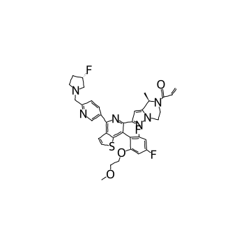 C=CC(=O)N1CCn2nc(-c3nc(-c4ccc(CN5CC[C@H](F)C5)nc4)c4ccsc4c3-c3c(F)cc(F)cc3OCCOC)cc2[C@H]1C